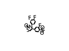 CS(=O)(=O)c1ccc(-c2csc(=O)n2-c2ccc(F)c(F)c2)cc1F